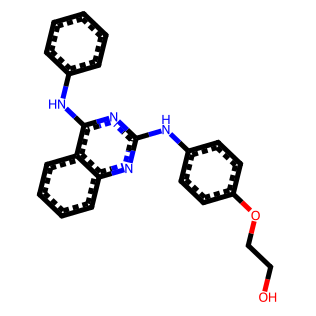 OCCOc1ccc(Nc2nc(Nc3ccccc3)c3ccccc3n2)cc1